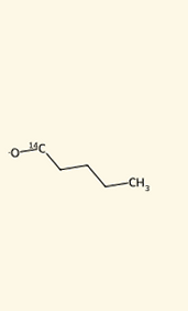 CCCC[14CH2][O]